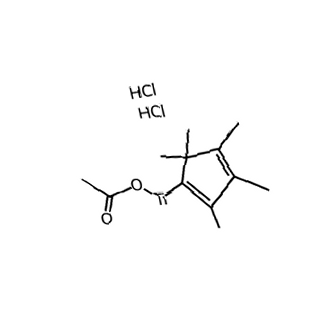 CC(=O)[O][Ti][C]1=C(C)C(C)=C(C)C1(C)C.Cl.Cl